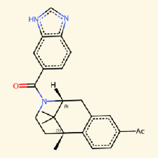 CC(=O)c1ccc2c(c1)C[C@H]1N(C(=O)c3ccc4nc[nH]c4c3)CC[C@]2(C)C1(C)C